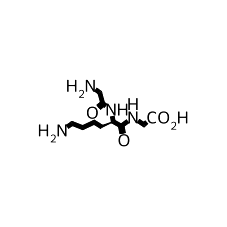 NCCCC[C@@H](NC(=O)CN)C(=O)NCC(=O)O